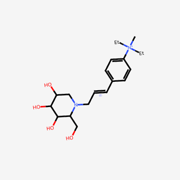 CC[N+](C)(CC)c1ccc(/C=C/CN2CC(O)C(O)C(O)C2CO)cc1